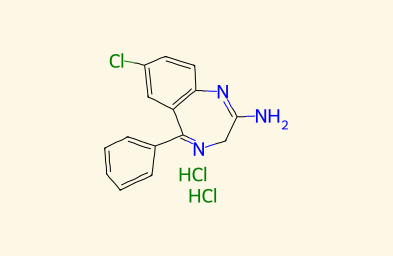 Cl.Cl.NC1=Nc2ccc(Cl)cc2C(c2ccccc2)=NC1